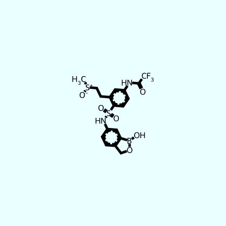 C[S+]([O-])CCc1cc(NC(=O)C(F)(F)F)ccc1S(=O)(=O)Nc1ccc2c(c1)B(O)OC2